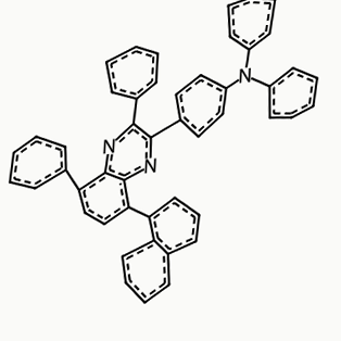 c1ccc(-c2nc3c(-c4ccccc4)ccc(-c4cccc5ccccc45)c3nc2-c2ccc(N(c3ccccc3)c3ccccc3)cc2)cc1